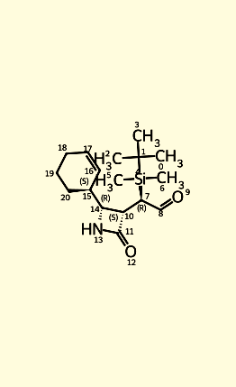 CC(C)(C)[Si](C)(C)[C@@H](C=O)[C@@H]1C(=O)N[C@@H]1[C@@H]1C=CCCC1